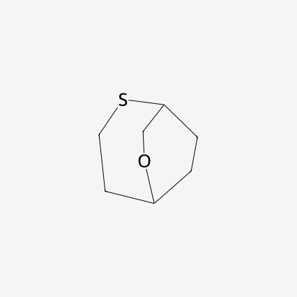 C1CC2CCC(CO2)S1